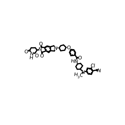 CN(c1ccc(C#N)c(Cl)c1)C1CCC(NC(=O)c2ccc(O[C@H]3CC[C@H](N4Cc5cc6c(cc5C4)C(=O)N(C4CCC(=O)NC4=O)C6=O)CC3)cc2)CC1